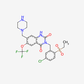 CCS(=O)(=O)c1ccc(Cl)cc1Cn1c(=O)[nH]c2cc(CN3CCNCC3)c(OC(F)(F)F)cc2c1=O